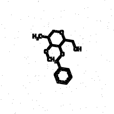 COC1C(C)COC(CO)C1OCc1ccccc1